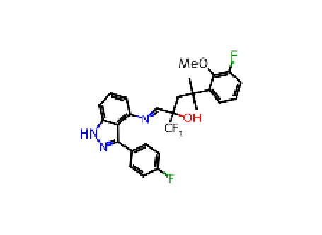 COc1c(F)cccc1C(C)(C)CC(O)(C=Nc1cccc2[nH]nc(-c3ccc(F)cc3)c12)C(F)(F)F